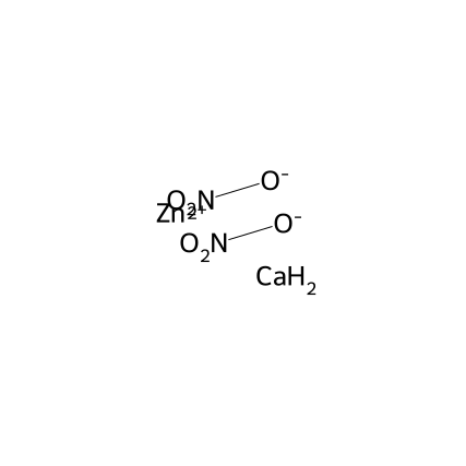 O=[N+]([O-])[O-].O=[N+]([O-])[O-].[CaH2].[Zn+2]